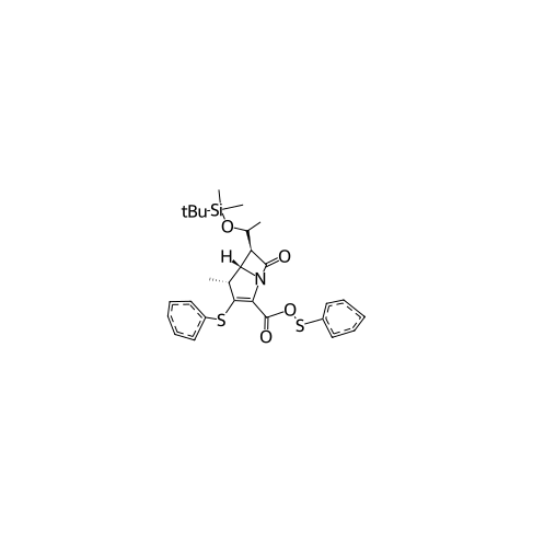 CC(O[Si](C)(C)C(C)(C)C)[C@H]1C(=O)N2C(C(=O)OSc3ccccc3)=C(Sc3ccccc3)[C@H](C)[C@H]12